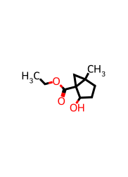 CCOC(=O)C12CC1(C)CCC2O